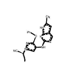 CC(C)Oc1nn([C@@H](C)C#N)cc1Nc1ncc2cc(C#N)[nH]c2n1